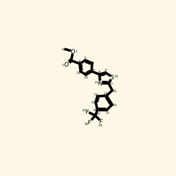 COC(=O)c1ccc(-c2csc(Cc3ccc(C(F)(F)F)cc3)n2)cc1